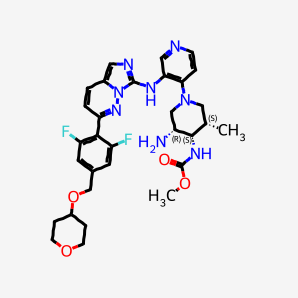 COC(=O)N[C@@H]1[C@H](N)CN(c2ccncc2Nc2ncc3ccc(-c4c(F)cc(COC5CCOCC5)cc4F)nn23)C[C@@H]1C